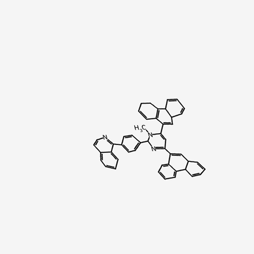 CN1C(C2=CC3C=CC=CC3C3=C2C=CCC3)=CC(C2=CC3C=CC=CC3c3ccccc32)=NC1c1ccc(-c2nccc3ccccc23)cc1